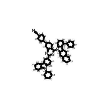 N#Cc1ccc(-c2ccc3c(-n4c5cc6ccccc6cc5c5c(-c6ccccc6)cccc54)nc(-c4ccc5c(c4)c4ccccc4n5-c4ccccc4)nc3c2)cc1